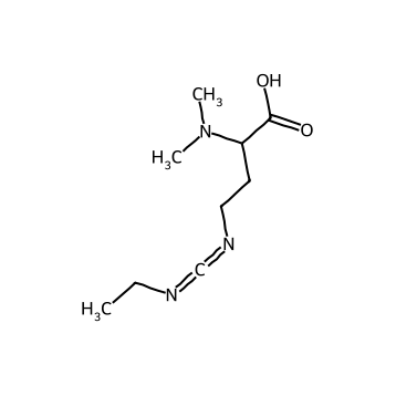 CCN=C=NCCC(C(=O)O)N(C)C